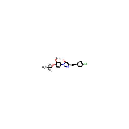 COc1cc(-n2cnc(C#Cc3ccc(Cl)cc3)cc2=O)ccc1OCC(C)(C)C